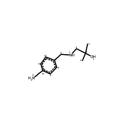 CC(C)(O)CNCc1ccc(N)cc1